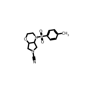 Cc1ccc(S(=O)(=O)N2CCOC3CN(C#N)CC32)cc1